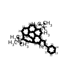 C[Si](C)(C)c1cc2c3cc(-c4ccccc4)[te]c3c3cc([Si](C)(C)C)c4ccc5ccc1c1c5c4c3c21